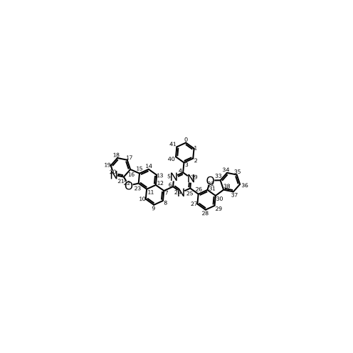 c1ccc(-c2nc(-c3cccc4c3ccc3c5cccnc5oc43)nc(-c3cccc4c3oc3ccccc34)n2)cc1